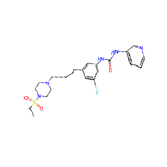 CCS(=O)(=O)N1CCN(CCCc2cc(F)cc(NC(=O)Nc3cccnc3)c2)CC1